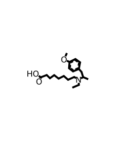 CCN(CCCCCCCC(=O)O)C(C)Cc1ccc(OC)cc1